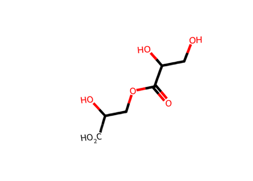 O=C(O)C(O)COC(=O)C(O)CO